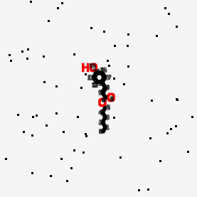 CCCCCCOC(=O)C=Cc1ccc(O)cc1